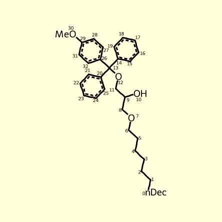 CCCCCCCCCCCCCCCCOCC(O)COC(c1ccccc1)(c1ccccc1)c1ccc(OC)cc1